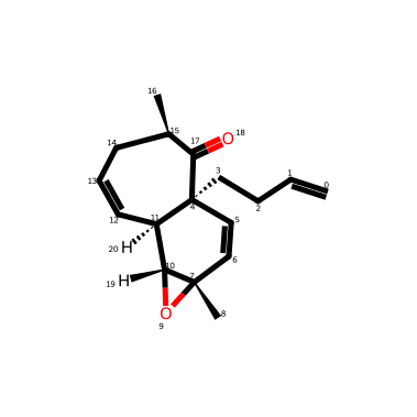 C=CCC[C@]12C=C[C@]3(C)O[C@@H]3[C@H]1C=CC[C@@H](C)C2=O